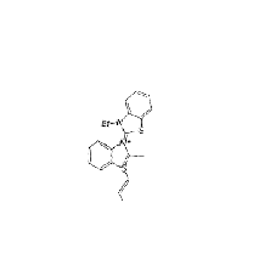 CC=CS1=C(C)[N+](=c2sc3ccccc3n2CC)c2ccccc21